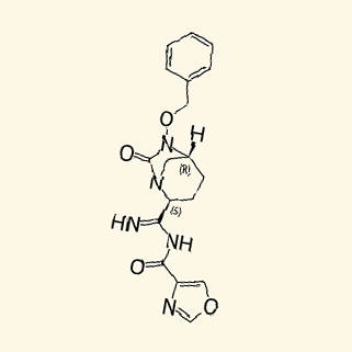 N=C(NC(=O)c1cocn1)[C@@H]1CC[C@@H]2CN1C(=O)N2OCc1ccccc1